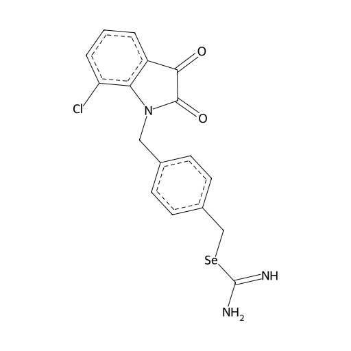 N=C(N)[Se]Cc1ccc(CN2C(=O)C(=O)c3cccc(Cl)c32)cc1